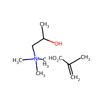 C=C(C)C(=O)O.CC(O)C[N+](C)(C)C